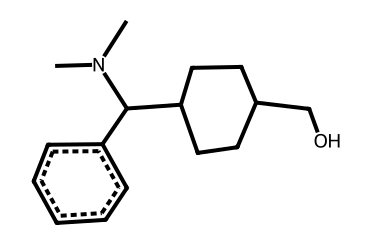 CN(C)C(c1ccccc1)C1CCC(CO)CC1